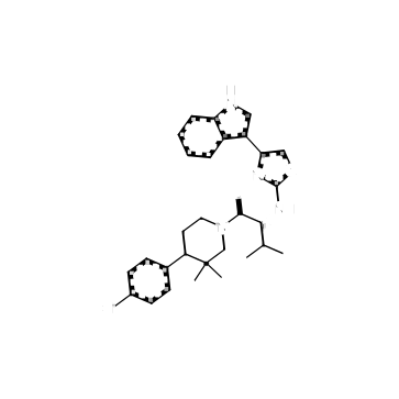 CC(C)[C@@H](Nc1nc(-c2c[nH]c3ccccc23)cs1)C(=O)N1CCC(c2ccc(Cl)cc2)C(C)(C)C1